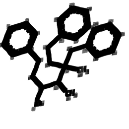 CCC(C)C(CCc1ccccc1)[C](C)C(C)(CCc1ccccc1)Cc1ccccc1